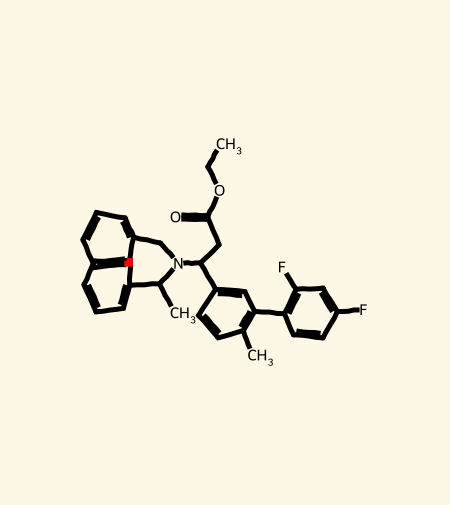 CCOC(=O)CC(c1ccc(C)c(-c2ccc(F)cc2F)c1)N(Cc1ccccc1)C(C)c1ccccc1